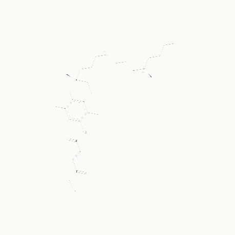 Cc1c(C)c2c(c(C)c1NC(=O)/C=C/C(=O)CO)CC[C@@](C)(CCC[C@H](C)CCC[C@H](C)CCCC(C)C)O2